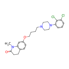 [CH2]N1C(=O)CCc2ccc(OCCCCN3CCN(c4cccc(Cl)c4Cl)CC3)cc21